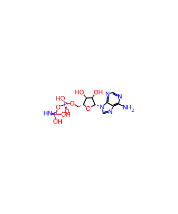 N=P(O)(O)OP(=O)(O)OC[C@H]1O[C@@H](n2cnc3c(N)ncnc32)[C@H](O)[C@@H]1O